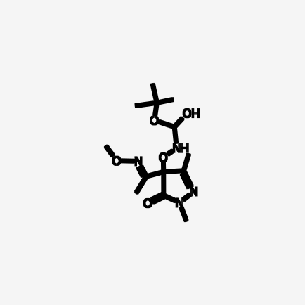 CO/N=C(\C)C1(ONC(O)OC(C)(C)C)C(=O)N(C)N=C1C